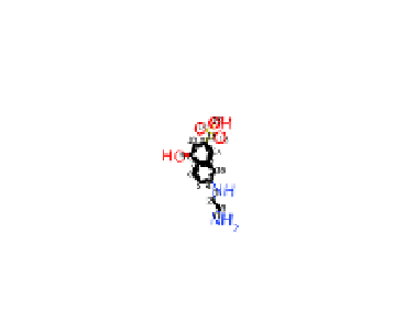 NCCNc1ccc2c(O)cc(S(=O)(=O)O)cc2c1